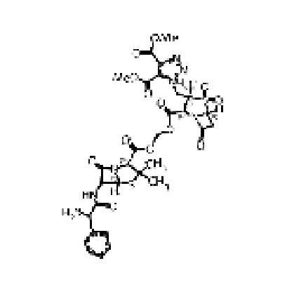 COC(=O)c1nnn(C[C@@]2(C)[C@H](C(=O)OCOC(=O)[C@@H]3N4C(=O)C(NC(=O)C(N)c5ccccc5)[C@H]4SC3(C)C)N3C(=O)C[C@H]3S2(=O)=O)c1C(=O)OC